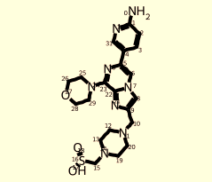 Nc1ccc(-c2cn3cc(CN4CCN(C[SH](=O)=O)CC4)nc3c(N3CCOCC3)n2)cn1